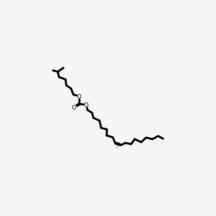 CCCCCCCC/C=C\CCCCCCCCOC(=O)OCCCCCC(C)C